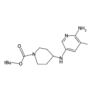 Cc1cc(NC2CCN(C(=O)OC(C)(C)C)CC2)cnc1N